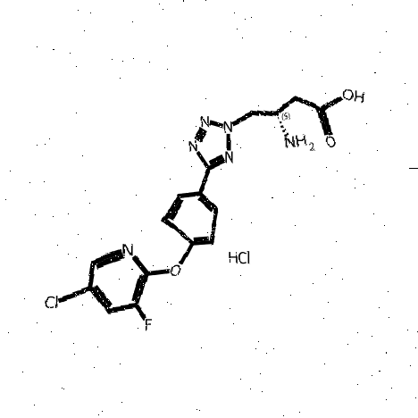 Cl.N[C@@H](CC(=O)O)Cn1nnc(-c2ccc(Oc3ncc(Cl)cc3F)cc2)n1